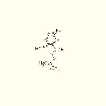 CN(C)CCC(=O)c1cccc(F)c1.Cl